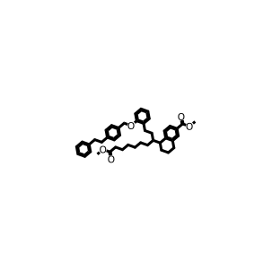 COC(=O)CCCCCCC(CCc1ccccc1OCc1ccc(CCc2ccccc2)cc1)C1CCCc2cc(C(=O)OC)ccc21